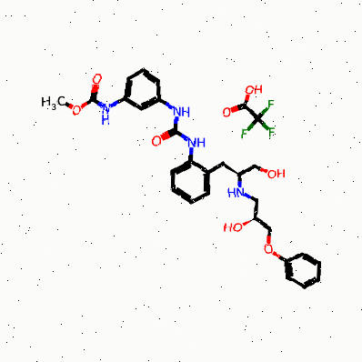 COC(=O)Nc1cccc(NC(=O)Nc2ccccc2C[C@@H](CO)NC[C@H](O)COc2ccccc2)c1.O=C(O)C(F)(F)F